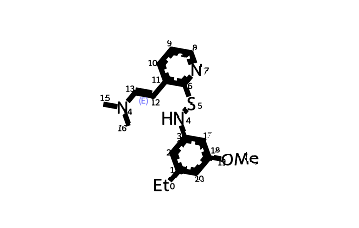 CCc1cc(NSc2ncccc2/C=C/N(C)C)cc(OC)c1